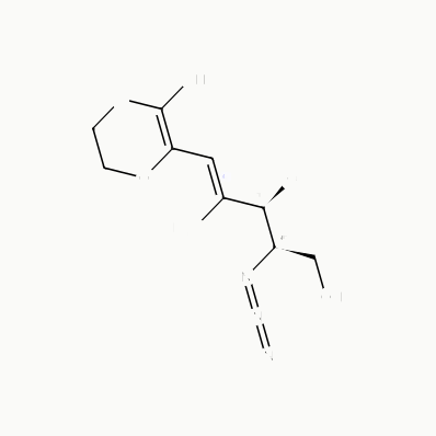 CC1=C(/C=C(\C)[C@@H](O)[C@@H](CO)N=[N+]=[N-])OCCO1